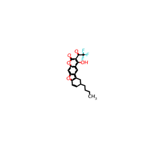 CCCCC1C=Cc2oc3cc4oc(=O)c(C(=O)C(F)(F)F)c(O)c4cc3c2C1